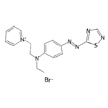 CCN(CC[n+]1ccccc1)c1ccc(/N=N/c2ncns2)cc1.[Br-]